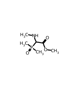 CNC(C(=O)OC)P(C)(C)=O